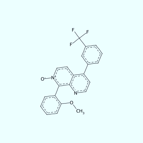 COc1ccccc1-c1c2nccc(-c3cccc(C(F)(F)F)c3)c2cc[n+]1[O-]